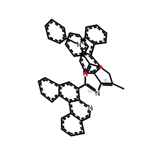 C\C1=C(c2ccc3c(c2)c2ccccc2n3-c2ccccc2)/N=C(c2cc3ccccc3c3c2ncc2ccccc23)\N=C(\c2ccccc2)CC1